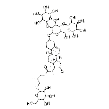 C[C@H](CCC(=O)[C@@H](C)[C@H]1C(=O)C[C@H]2[C@@H]3CC=C4CC(O[C@@H]5OC(CO)[C@@H](O[C@@H]6OC(O)[C@H](O)[C@H](O)C6O)[C@H](O)C5O[C@@H]5OC(O)[C@H](O)[C@H](O)C5O)CC[C@]4(C)[C@H]3CC[C@]12C)CO[C@@H]1OC(CO)[C@@H](O)[C@H](O)C1O